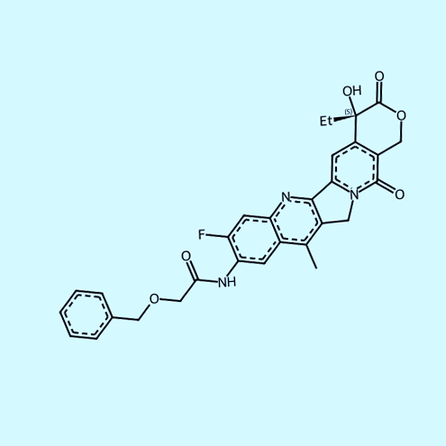 CC[C@@]1(O)C(=O)OCc2c1cc1n(c2=O)Cc2c-1nc1cc(F)c(NC(=O)COCc3ccccc3)cc1c2C